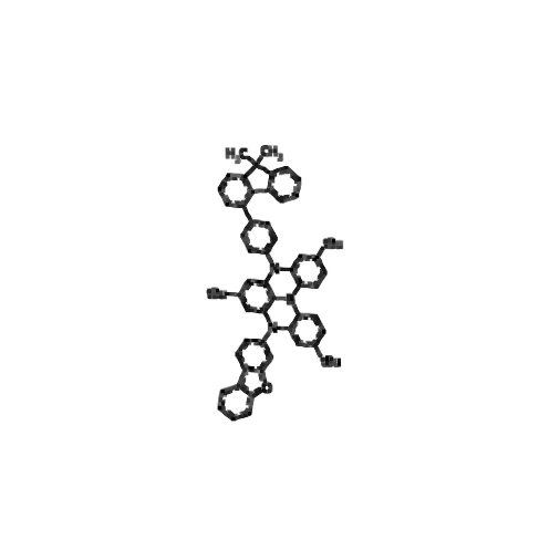 CC(C)(C)c1ccc2c(c1)N(c1ccc(-c3cccc4c3-c3ccccc3C4(C)C)cc1)c1cc(C(C)(C)C)cc3c1B2c1ccc(C(C)(C)C)cc1N3c1ccc2c(c1)oc1ccccc12